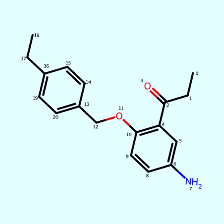 CCC(=O)c1cc(N)ccc1OCc1ccc(CC)cc1